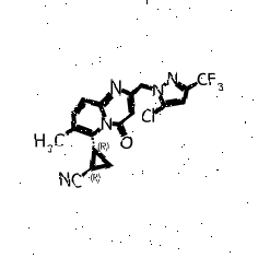 Cc1ccc2nc(Cn3nc(C(F)(F)F)cc3Cl)cc(=O)n2c1[C@@H]1C[C@H]1C#N